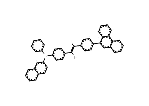 [2H]/C(=C(/[2H])c1ccc(N(c2ccccc2)c2ccc3ccccc3c2)cc1)c1ccc(-c2cc3ccccc3c3ccccc23)cc1